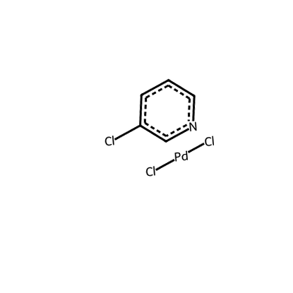 Clc1cccnc1.[Cl][Pd][Cl]